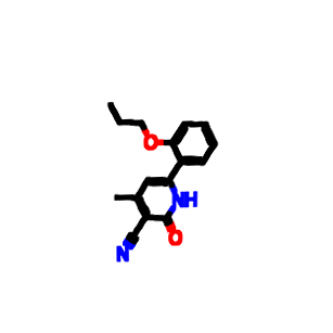 CCCOc1ccccc1-c1cc(C)c(C#N)c(=O)[nH]1